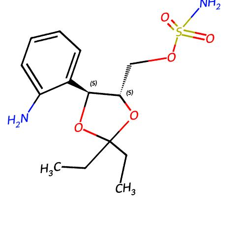 CCC1(CC)O[C@@H](COS(N)(=O)=O)[C@H](c2ccccc2N)O1